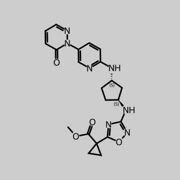 COC(=O)C1(c2nc(N[C@H]3CC[C@H](Nc4ccc(-n5ncccc5=O)cn4)C3)no2)CC1